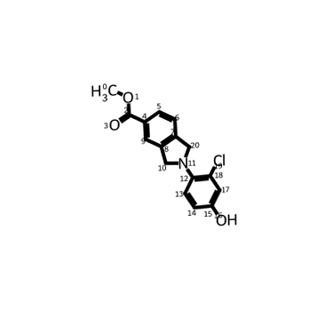 COC(=O)c1ccc2c(c1)CN(c1ccc(O)cc1Cl)C2